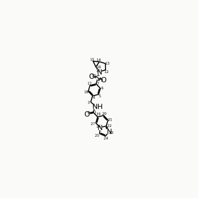 O=C(NCc1ccc(S(=O)(=O)N2CCC3CC32)cc1)c1ccc2nccn2c1